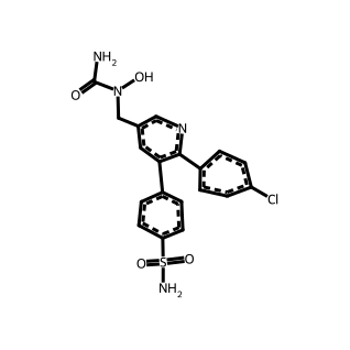 NC(=O)N(O)Cc1cnc(-c2ccc(Cl)cc2)c(-c2ccc(S(N)(=O)=O)cc2)c1